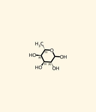 C[C@@H]1OC(O)[C@H](O)[C@@H](O)[C@H]1O